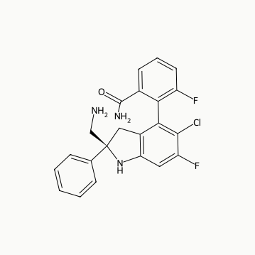 NC[C@@]1(c2ccccc2)Cc2c(cc(F)c(Cl)c2-c2c(F)cccc2C(N)=O)N1